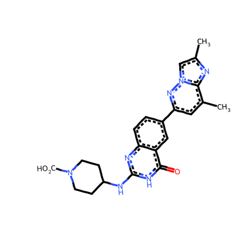 Cc1cn2nc(-c3ccc4nc(NC5CCN(C(=O)O)CC5)[nH]c(=O)c4c3)cc(C)c2n1